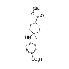 CC1(Nc2ccc(C(=O)O)cc2)CCN(C(=O)OC(C)(C)C)CC1